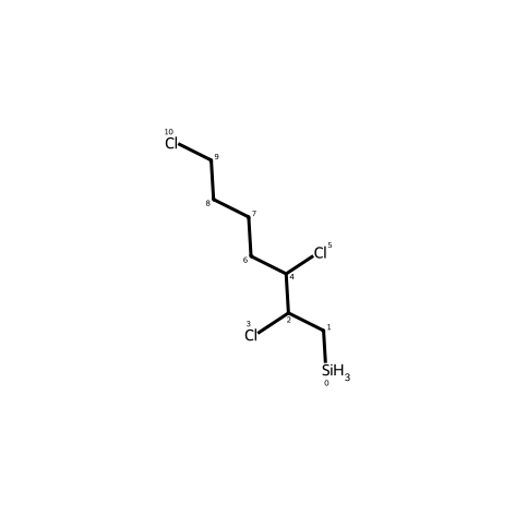 [SiH3]CC(Cl)C(Cl)CCCCCl